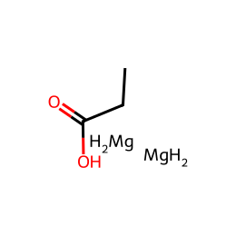 CCC(=O)O.[MgH2].[MgH2]